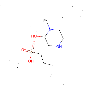 CCCS(=O)(=O)O.CCN1CCNCC1O